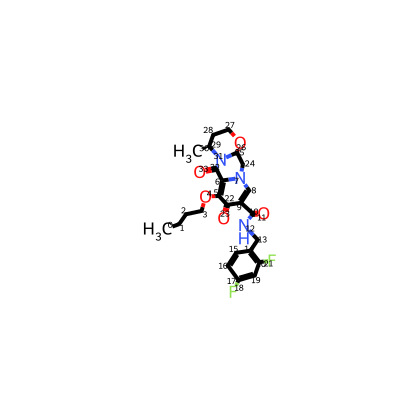 CCCCOc1c2n(cc(C(=O)NCc3ccc(F)cc3F)c1=O)CC1OCC[C@H](C)N1C2=O